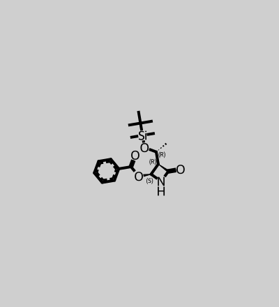 C[C@@H](O[Si](C)(C)C(C)(C)C)[C@H]1C(=O)N[C@H]1OC(=O)c1ccccc1